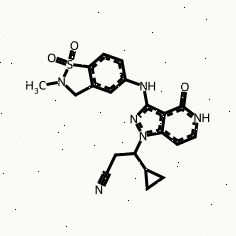 CN1Cc2cc(Nc3nn(C(CC#N)C4CC4)c4cc[nH]c(=O)c34)ccc2S1(=O)=O